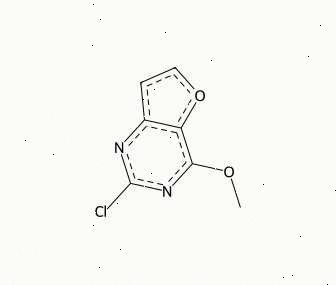 COc1nc(Cl)nc2ccoc12